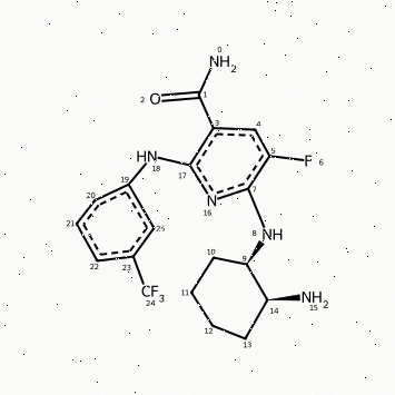 NC(=O)c1cc(F)c(N[C@@H]2CCCC[C@@H]2N)nc1Nc1cccc(C(F)(F)F)c1